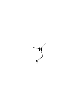 CN(C)C=S